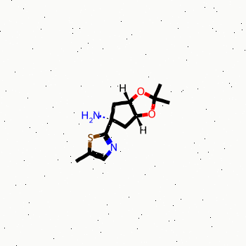 Cc1cnc([C@@]2(N)C[C@@H]3OC(C)(C)O[C@@H]3C2)s1